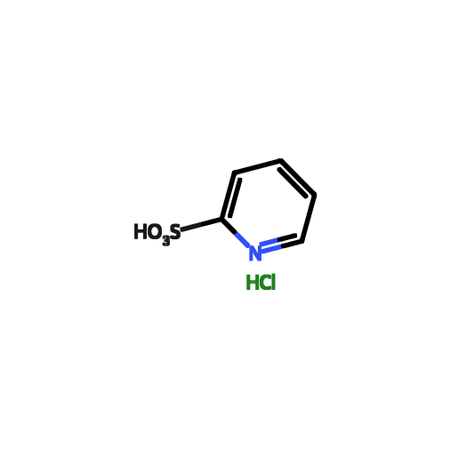 Cl.O=S(=O)(O)c1ccccn1